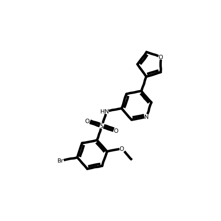 COc1ccc(Br)cc1S(=O)(=O)Nc1cncc(-c2ccoc2)c1